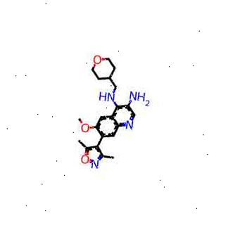 COc1cc2c(NCC3CCOCC3)c(N)cnc2cc1-c1c(C)noc1C